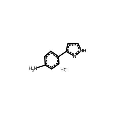 Cl.Nc1ccc(-c2cc[nH]n2)cc1